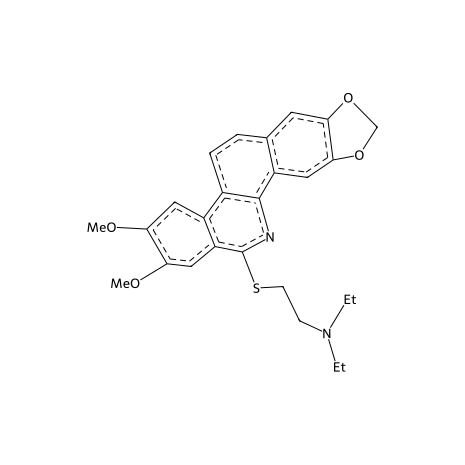 CCN(CC)CCSc1nc2c3cc4c(cc3ccc2c2cc(OC)c(OC)cc12)OCO4